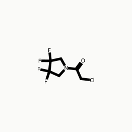 O=C(CCl)N1CC(F)(F)C(F)(F)C1